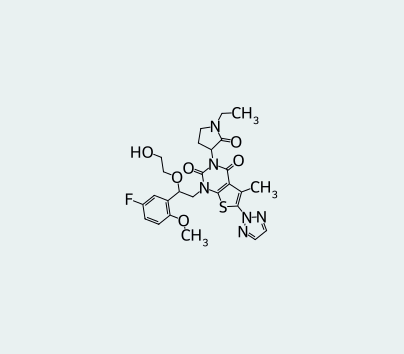 CCN1CCC(n2c(=O)c3c(C)c(-n4nccn4)sc3n(CC(OCCO)c3cc(F)ccc3OC)c2=O)C1=O